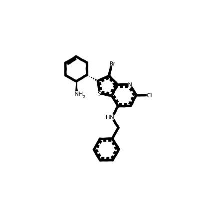 N[C@H]1CC=CC[C@@H]1c1sc2c(NCc3ccccc3)cc(Cl)nc2c1Br